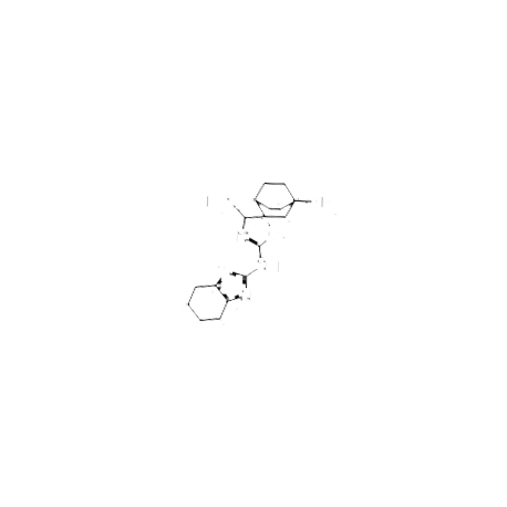 BC12CCC(CC1)[C@@]1(C2)OC(Nc2nc3c(s2)CCCC3)=NC1N